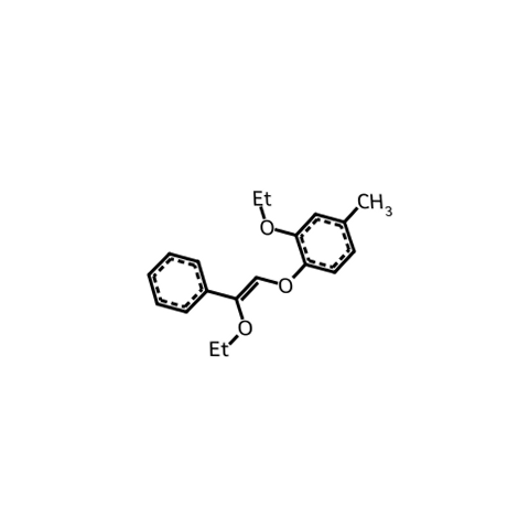 CCOC(=COc1ccc(C)cc1OCC)c1ccccc1